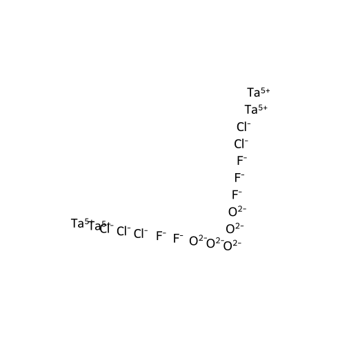 [Cl-].[Cl-].[Cl-].[Cl-].[Cl-].[F-].[F-].[F-].[F-].[F-].[O-2].[O-2].[O-2].[O-2].[O-2].[Ta+5].[Ta+5].[Ta+5].[Ta+5]